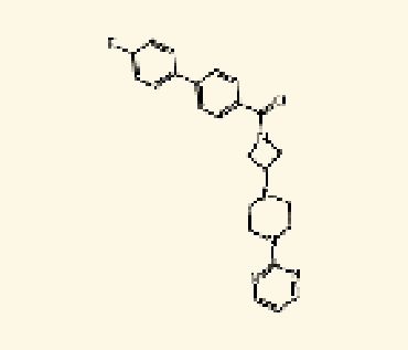 O=C(c1ccc(-c2ccc(F)cc2)cc1)N1CC(N2CCN(c3ncccn3)CC2)C1